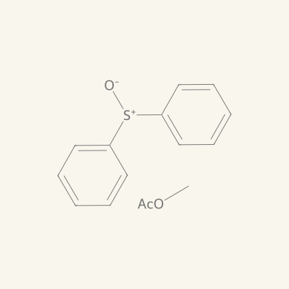 COC(C)=O.[O-][S+](c1ccccc1)c1ccccc1